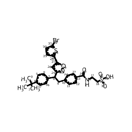 CC(C)(C)c1ccc(C(Cc2ccc(C(=O)NCCS(=O)(=O)O)cc2)c2cc(-c3ccc(Br)s3)on2)cc1